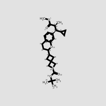 COC(=O)[C@@H](C)[C@H](c1ccc2c(c1)OC(C1CC3(C1)CN(C(=O)OC(C)(C)C)C3)CC2)C1CC1